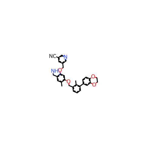 Cc1cc(CN)c(OCc2cncc(C#N)c2)cc1OCc1cccc(-c2ccc3c(c2)OCCO3)c1C